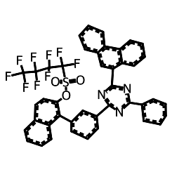 O=S(=O)(Oc1ccc2ccccc2c1-c1cccc(-c2nc(-c3ccccc3)nc(-c3cc4ccccc4c4ccccc34)n2)c1)C(F)(F)C(F)(F)C(F)(F)C(F)(F)F